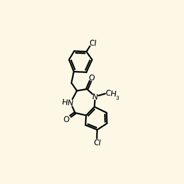 CN1C(=O)C(Cc2ccc(Cl)cc2)NC(=O)c2cc(Cl)ccc21